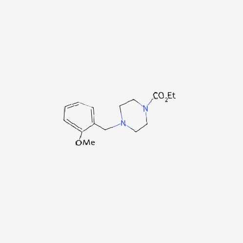 CCOC(=O)N1CCN(Cc2ccccc2OC)CC1